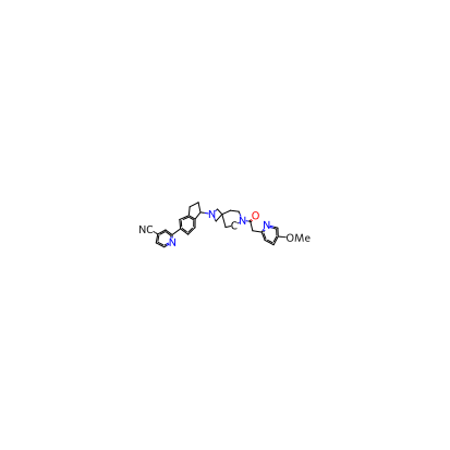 COc1ccc(CC(=O)N2CCC3(CC2)CN(C2CCc4cc(-c5cc(C#N)ccn5)ccc42)C3)nc1